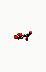 c1ccc(-c2ccc(N(c3ccccc3)c3ccc(-c4cccc(C5(c6ccccc6)c6ccccc6C6(c7ccccc7)c7ccccc7-c7cccc5c76)c4)cc3)cc2)cc1